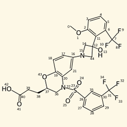 COc1cccc(C(F)(F)F)c1C1(O)CN(c2ccc3c(c2)N(S(=O)(=O)c2cccc(C(F)(F)F)c2)C[C@@H](CCC(=O)O)O3)C1